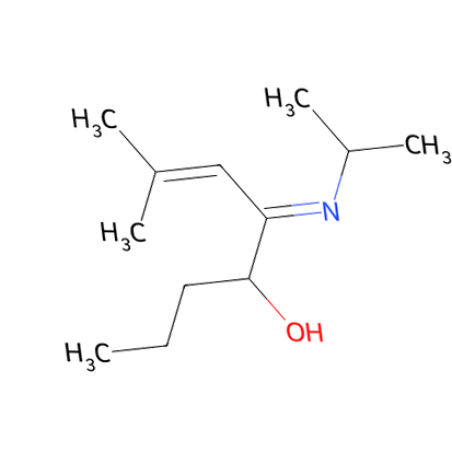 CCCC(O)/C(C=C(C)C)=N/C(C)C